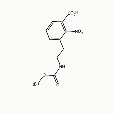 CC(C)(C)OC(=O)NCCc1cccc(C(=O)O)c1[N+](=O)[O-]